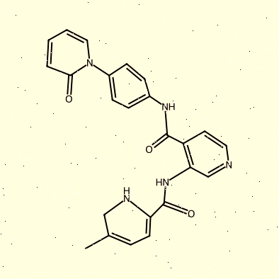 CC1=CC=C(C(=O)Nc2cnccc2C(=O)Nc2ccc(-n3ccccc3=O)cc2)NC1